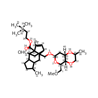 COC[C@H]1O[C@@H](OCC23CC4C(C)CCC4C4(C=O)CC2C=C(C(C)C)C43C(=O)OCC[Si](C)(C)C)C[C@@H]2OC(C)CO[C@@H]21